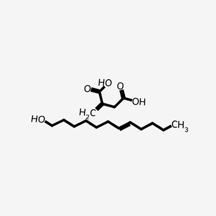 C=C(CC(=O)O)C(=O)O.CCCCC=CCCCCCCO